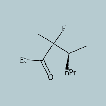 CCC[C@H](C)C(C)(F)C(=O)CC